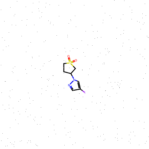 O=S1(=O)CCC(n2cc(I)cn2)C1